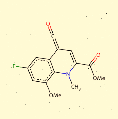 COC(=O)C1=CC(=C=O)c2cc(F)cc(OC)c2N1C